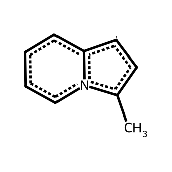 Cc1c[c]c2ccccn12